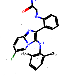 Cc1cccc(C)c1Nc1c(-c2ccccc2NCC(N)=O)nc2ccc(F)cn12